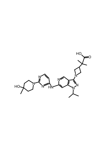 CC(C)n1nc(N2CC(C(C)(C)C(=O)O)C2)c2cnc(Nc3ccnc(N4CCC(C)(O)CC4)n3)cc21